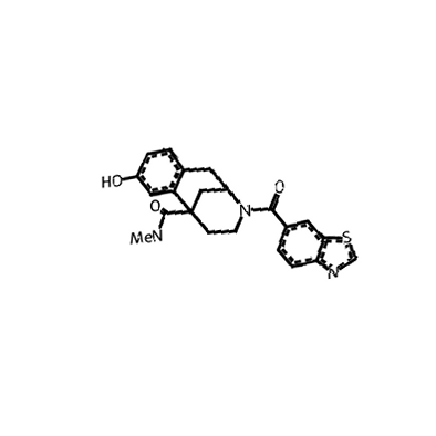 CNC(=O)C12CCN(C(=O)c3ccc4ncsc4c3)C(Cc3ccc(O)cc31)C2